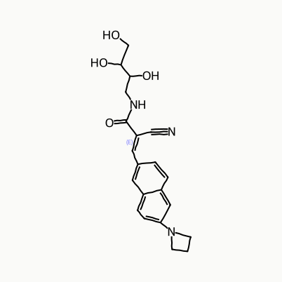 N#C/C(=C\c1ccc2cc(N3CCC3)ccc2c1)C(=O)NCC(O)C(O)CO